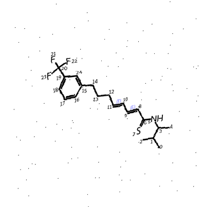 CC(C)C(C)NC(=S)/C=C/C=C/CCCc1cccc(C(F)(F)F)c1